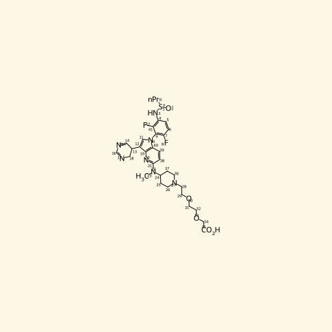 CCC[S+]([O-])Nc1ccc(F)c(-n2cc(C3C=NC=NC3)c3nc(N(C)C4CCN(CCOCCOCC(=O)O)CC4)ccc32)c1F